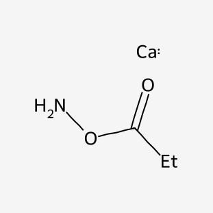 CCC(=O)ON.[Ca]